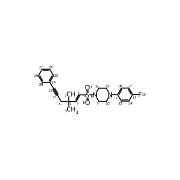 CC(C)(/C=C/S(=O)(=O)N1CCN(c2ccc(F)cc2)CC1)CC#Cc1ccccc1